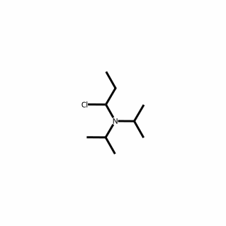 CCC(Cl)N(C(C)C)C(C)C